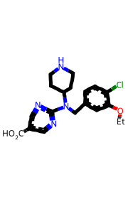 CCOc1cc(CN(c2ncc(C(=O)O)cn2)C2CCNCC2)ccc1Cl